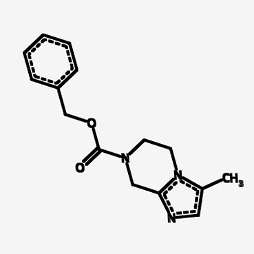 Cc1cnc2n1CCN(C(=O)OCc1ccccc1)C2